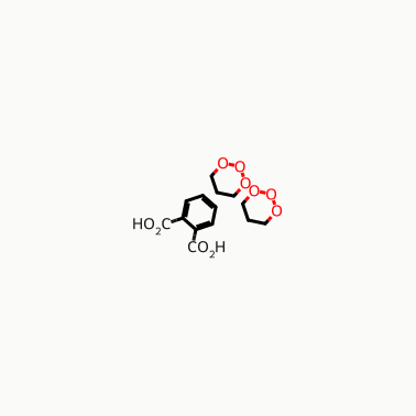 C1COOOC1.C1COOOC1.O=C(O)c1ccccc1C(=O)O